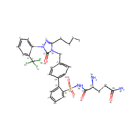 CCCCc1nn(-c2ccccc2C(F)(F)F)c(=O)n1Cc1ccc(-c2ccccc2S(=O)(=O)NC(=O)[C@@H](N)CCC(N)=O)cc1